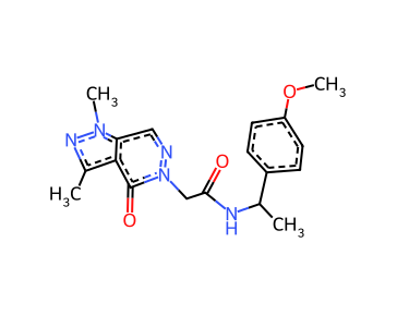 COc1ccc(C(C)NC(=O)Cn2ncc3c(c(C)nn3C)c2=O)cc1